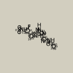 CS(=O)(=O)NCc1cc(F)cc(-c2cccc3[nH]c(-c4n[nH]c5cnc(-c6cncc(NC(=O)Cc7ccccc7)c6)cc45)cc23)c1